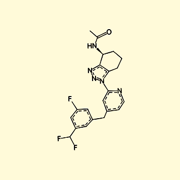 CC(=O)N[C@H]1CCCc2c1nnn2-c1cc(Cc2cc(F)cc(C(F)F)c2)ccn1